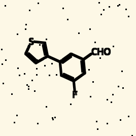 O=Cc1cc(F)cc(-c2ccsc2)c1